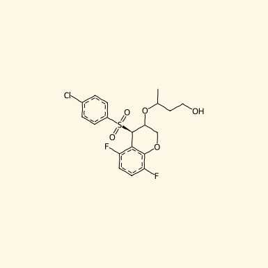 CC(CCO)OC1COc2c(F)ccc(F)c2[C@H]1S(=O)(=O)c1ccc(Cl)cc1